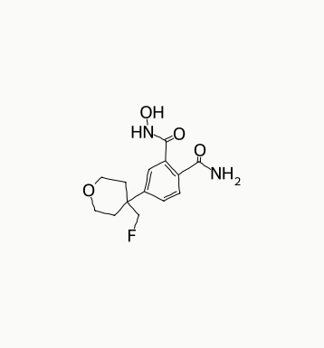 NC(=O)c1ccc(C2(CF)CCOCC2)cc1C(=O)NO